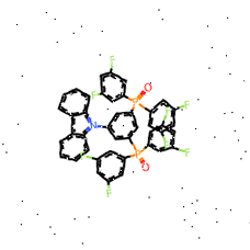 O=P(c1cc(F)cc(F)c1)(c1cc(F)cc(F)c1)c1cc(-n2c3ccccc3c3ccccc32)cc(P(=O)(c2cc(F)cc(F)c2)c2cc(F)cc(F)c2)c1